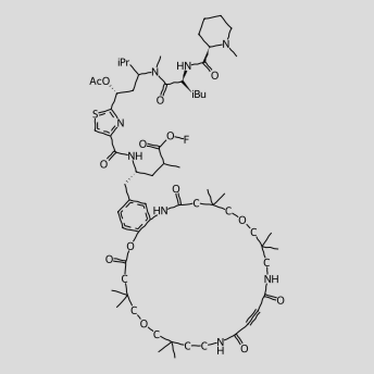 CC[C@H](C)[C@H](NC(=O)[C@H]1CCCCN1C)C(=O)N(C)C(C[C@@H](OC(C)=O)c1nc(C(=O)N[C@@H](Cc2ccc3c(c2)NC(=O)CC(C)(C)COCC(C)(C)CNC(=O)C#CC(=O)NCCC(C)(C)COCC(C)(C)CC(=O)O3)CC(C)C(=O)OF)cs1)C(C)C